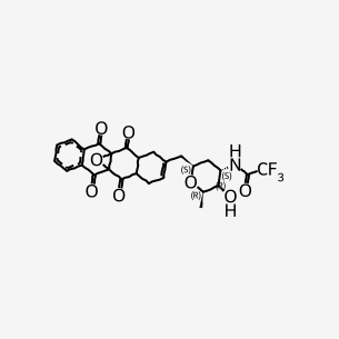 C[C@H]1O[C@@H](CC2=CCC3C(=O)C45OC4(C(=O)c4ccccc4C5=O)C(=O)C3C2)C[C@H](NC(=O)C(F)(F)F)[C@H]1O